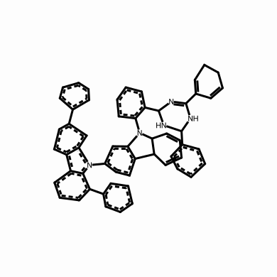 C1=CC2c3ccc(-n4c5cc(-c6ccccc6)ccc5c5cccc(-c6ccccc6)c54)cc3N(c3ccccc3C3N=C(C4=CCCC=C4)NC(c4ccccc4)N3)C2C=C1